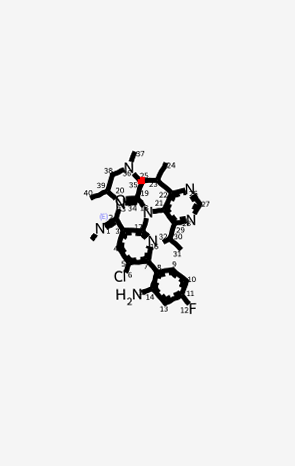 C/N=C(\c1cc(Cl)c(-c2ccc(F)cc2N)nc1N(C=O)c1c(C(C)C)ncnc1C(C)C)N1CCN(C)CC1C